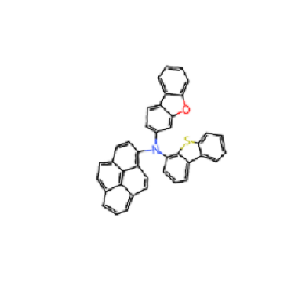 c1cc2ccc3ccc(N(c4ccc5c(c4)oc4ccccc45)c4cccc5c4sc4ccccc45)c4ccc(c1)c2c34